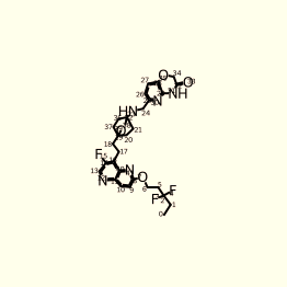 CCC(F)(F)CCOc1ccc2ncc(F)c(CCC34CCC(NCc5ccc6c(n5)NC(=O)CO6)(CC3)CO4)c2n1